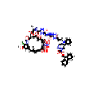 COc1cc2cc(c1Cl)N(C)C(=O)C[C@H](OC(=O)[C@H](C)N(C)C(=O)CNC(=O)CNC(=O)CNC(=O)CCn1c(CN(C)N(C)C(=O)OCC3c4ccccc4-c4ccccc43)cc3ccccc31)[C@@]1(C)CC(C)(O1)[C@@H]1C[C@@](O)(NC(=O)O1)[C@H](O)/C=C/C=C(\C)C2